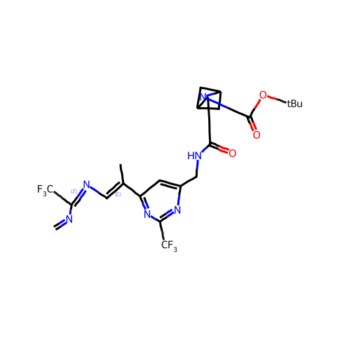 C=N/C(=N\C=C(/C)c1cc(CNC(=O)C2C3CC(C3)N2C(=O)OC(C)(C)C)nc(C(F)(F)F)n1)C(F)(F)F